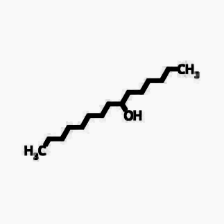 CCCCCCCCC(O)CCCCCC